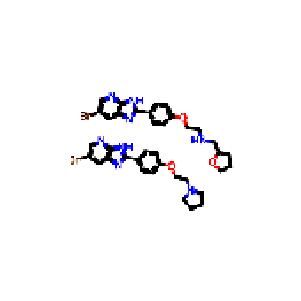 Brc1cnc2[nH]c(-c3ccc(OCCN4CCCC4)cc3)nc2c1.Brc1cnc2[nH]c(-c3ccc(OCCNCC4CCCO4)cc3)nc2c1